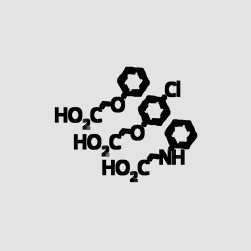 O=C(O)CNc1ccccc1.O=C(O)COc1ccc(Cl)cc1.O=C(O)COc1ccccc1